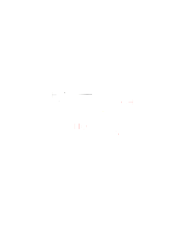 O=P(O)(O)[CH2][AlH2]